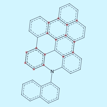 c1ccc(-c2ccccc2-c2c(-c3ccccc3)cccc2-c2cccc(N(c3cccc(-c4cccc5ccccc45)c3)c3cccc4ccccc34)c2)cc1